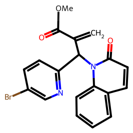 C=C(C(=O)OC)C(c1ccc(Br)cn1)n1c(=O)ccc2ccccc21